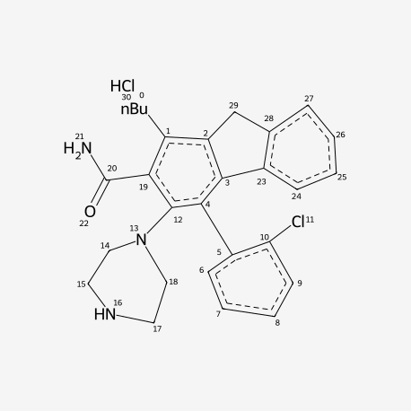 CCCCc1c2c(c(-c3ccccc3Cl)c(N3CCNCC3)c1C(N)=O)-c1ccccc1C2.Cl